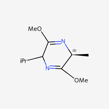 COC1=N[C@@H](C)C(OC)=NC1C(C)C